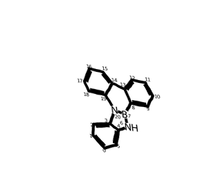 c1ccc2c(c1)NB1c3ccccc3-c3ccccc3N12